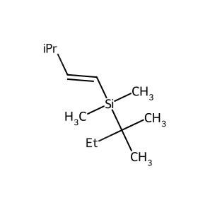 CCC(C)(C)[Si](C)(C)C=CC(C)C